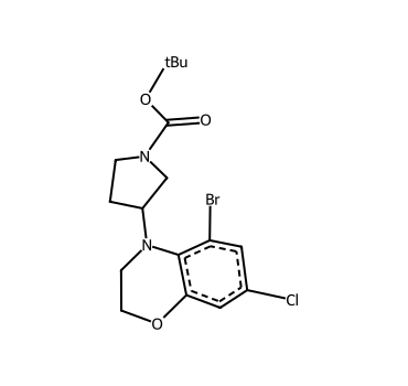 CC(C)(C)OC(=O)N1CCC(N2CCOc3cc(Cl)cc(Br)c32)C1